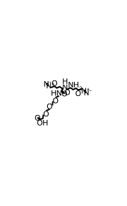 [N-]=[N+]=CC(=O)CCC(N)C(=O)NC(CCC(=O)C=[N+]=[N-])C(=O)NCCOCCOCCOCCC(=O)O